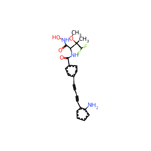 COC(C)(C(F)F)C(NC(=O)c1ccc(C#CC#Cc2ccccc2N)cc1)C(=O)NO